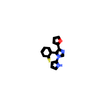 S=C1CC=CC=C1c1c(-c2ccco2)n[c]n1-c1ccc[nH]1